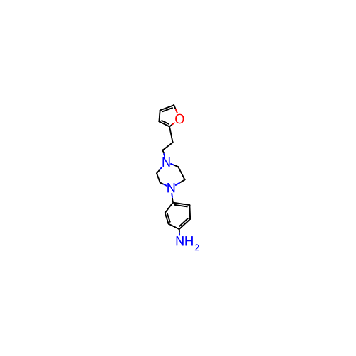 Nc1ccc(N2CCN(CCc3ccco3)CC2)cc1